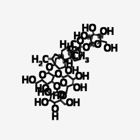 C=C1C[C@@]23CC[C@H]4[C@@](C)(CCC[C@@]4(C)C(=O)O[C@@H]4OC(CO)[C@@H](O)C(O)[C@@H]4O)[C@@H]2CCC1(OC1OC(CO)C(O)C(OC2OC(CO)C(O)C(O)C2O)C1OC1OC(CO)C(O)C(O)C1O)C3